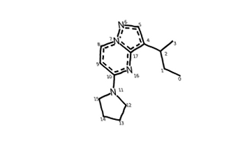 CCC(C)c1cnn2ccc(N3CCCC3)nc12